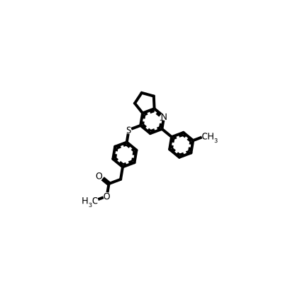 COC(=O)Cc1ccc(Sc2cc(-c3cccc(C)c3)nc3c2CCC3)cc1